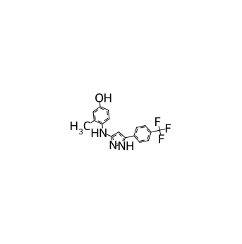 Cc1cc(O)ccc1Nc1cc(-c2ccc(C(F)(F)F)cc2)[nH]n1